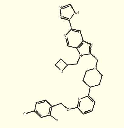 Fc1cc(Cl)ccc1COc1cccc(C2CCN(Cc3nc4cc(-c5nnc[nH]5)ncc4n3CC3CCO3)CC2)n1